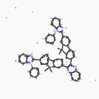 CC1(C)c2cc(-c3nc4ccccc4nc3-c3ccc4c(c3)C(C)(C)c3cc(-c5nc6ccccc6n5-c5ccccc5)ccc3-4)ccc2-c2ccc(-c3nc4ccccc4n3-c3ccccc3)cc21